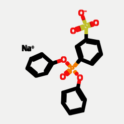 O=P(Oc1ccccc1)(Oc1ccccc1)c1cccc(S(=O)(=O)[O-])c1.[Na+]